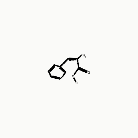 CC(=Cc1ccccc1)C(=O)OCl